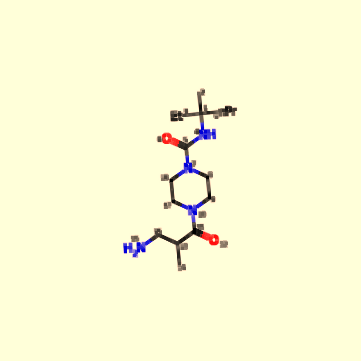 CCCC(C)(CC)NC(=O)N1CCN(C(=O)C(C)CN)CC1